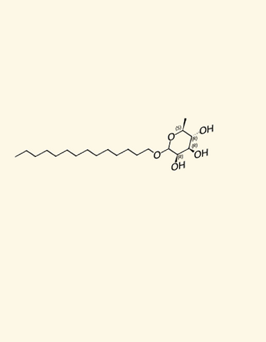 CCCCCCCCCCCCCCOC1O[C@@H](C)[C@H](O)[C@@H](O)[C@H]1O